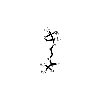 CCC(C)(C)C(=O)OCCOC1(C)COC1(C)C